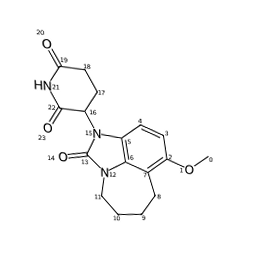 COc1ccc2c3c1CCCCn3c(=O)n2C1CCC(=O)NC1=O